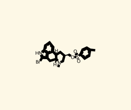 Cc1ccc(S(=O)(=O)OC[C@@H]2C[C@@H]3c4cccc5[nH]c(Br)c(c45)C[C@H]3N(C)C2)cc1